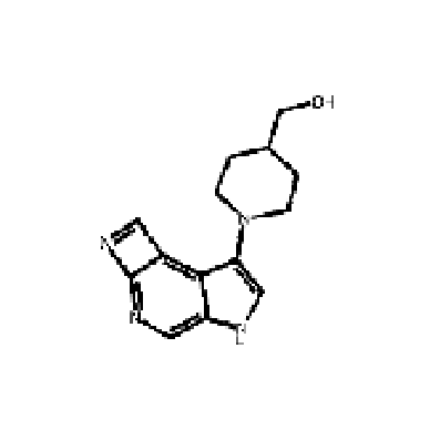 OCC1CCN(c2c[nH]c3cnc4c(c23)C=N4)CC1